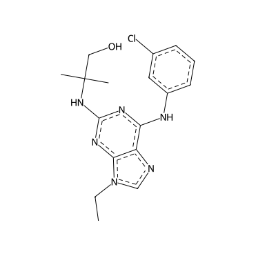 CCn1cnc2c(Nc3cccc(Cl)c3)nc(NC(C)(C)CO)nc21